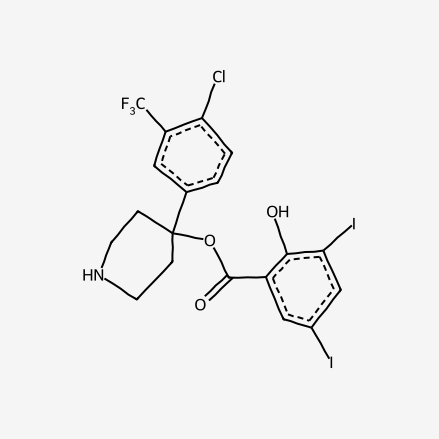 O=C(OC1(c2ccc(Cl)c(C(F)(F)F)c2)CCNCC1)c1cc(I)cc(I)c1O